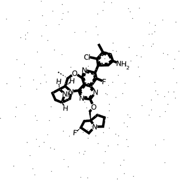 Cc1cc(N)cc(-c2nc3c4c(nc(OC[C@@]56CCCN5C[C@H](F)C6)nc4c2F)N2C[C@H]4CC[C@H](N4)[C@H]2[C@H](C)O3)c1Cl